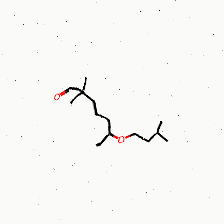 CC(C)CCOC(C)CCCC(C)(C)C=O